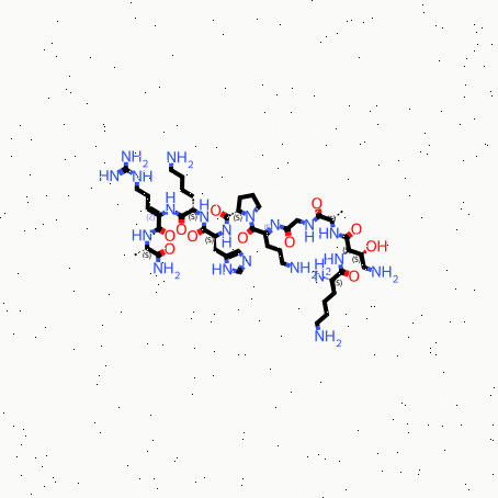 C[C@H](NC(=O)/C(=C/CCNC(=N)N)NC(=O)[C@H](CCCCN)NC(=O)[C@H](Cc1cnc[nH]1)NC(=O)[C@@H]1CCCN1C(=O)/C(CCCN)=N/C(=O)CNC(=O)[C@H](C)NC(=O)[C@@H](NC(=O)[C@@H](N)CCCCN)[C@@H](O)CN)C(N)=O